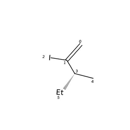 C=C(I)[C@H](C)CC